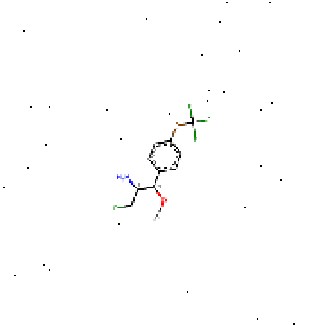 CO[C@H](c1ccc(SC(F)(F)F)cc1)[C@H](N)CF